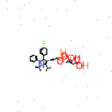 CC(C)c1c(C#CCO[PH](=O)C[C@@H](O)CC(=O)O)c(-c2ccc(F)cc2)c(-c2ccccc2)n1C(C)C